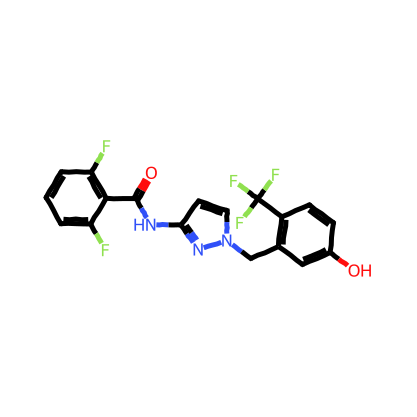 O=C(Nc1ccn(Cc2cc(O)ccc2C(F)(F)F)n1)c1c(F)cccc1F